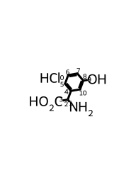 Cl.NC(C(=O)O)c1cccc(O)c1